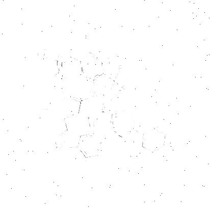 C[C@@H](c1c[nH]c2ccccc12)[C@@H](NC(=O)N1CCC(c2ccccc2)CC1)C(=O)Nc1cc(CN(C)C)ccc1C(F)(F)F